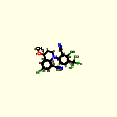 COC1CCN(c2ccc(C(F)(F)F)c(F)c2C#N)c2c(C#N)cc(F)cc21